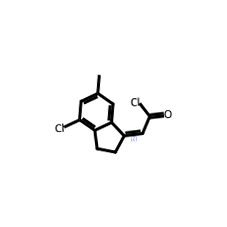 Cc1cc(Cl)c2c(c1)/C(=C\C(=O)Cl)CC2